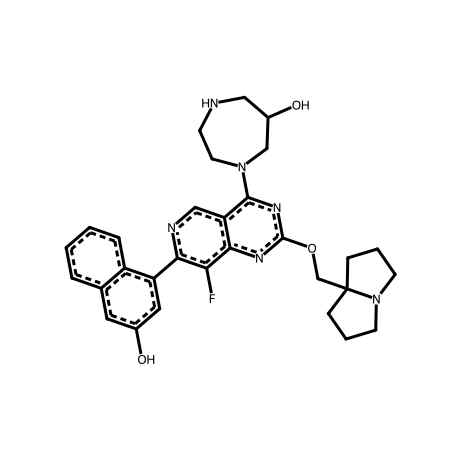 Oc1cc(-c2ncc3c(N4CCNCC(O)C4)nc(OCC45CCCN4CCC5)nc3c2F)c2ccccc2c1